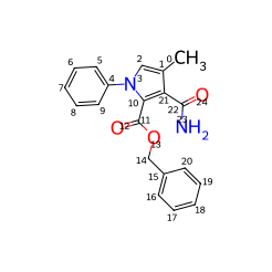 Cc1cn(-c2ccccc2)c(C(=O)OCc2ccccc2)c1C(N)=O